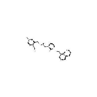 Cc1ccn(NCc2cccc3cccnc23)c(=O)c1CC(=O)NCc1cc(Cl)ccc1CN